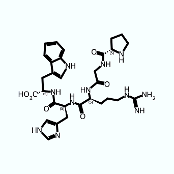 N=C(N)NCCC[C@H](NC(=O)CNC(=O)[C@@H]1CCCN1)C(=O)N[C@@H](Cc1c[nH]cn1)C(=O)N[C@@H](Cc1c[nH]c2ccccc12)C(=O)O